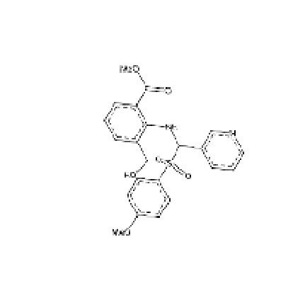 COC(=O)c1cccc(CO)c1NC(c1cccnc1)S(=O)(=O)c1ccc(OC)cc1